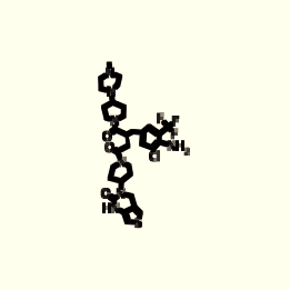 CN1CCN(C2CCN(C(=O)[C@H](CC(=O)N3CCC(N4Cc5cscc5NC4=O)CC3)Cc3cc(Cl)c(N)c(C(F)(F)F)c3)CC2)CC1